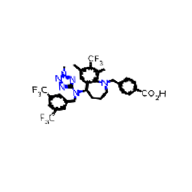 Cc1cc2c(c(C)c1C(F)(F)F)N(Cc1ccc(C(=O)O)cc1)CCCC2N(Cc1cc(C(F)(F)F)cc(C(F)(F)F)c1)c1nnn(C)n1